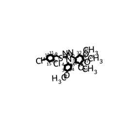 COc1ccc(-n2c(SCc3ccc(Cl)cc3Cl)nnc2-c2cc(OC)c(OC)c(OC)c2)cc1